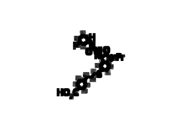 CCCN1C(=O)C(=NNC(=O)Nc2cccc(F)c2)c2cc(SCCCc3ccc(C(=O)O)cc3)ccc21